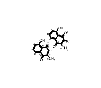 CC1=C(Cl)C(=O)c2c(O)cccc2C1=O.CC1=CC(=O)c2c(O)cccc2C1=O